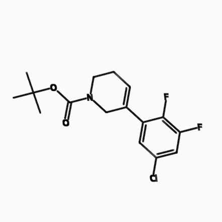 CC(C)(C)OC(=O)N1CCC=C(c2cc(Cl)cc(F)c2F)C1